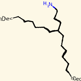 CCCCCCCCCCCCCCCCC(CCCN)CCCCCCCCCCCCCCCC